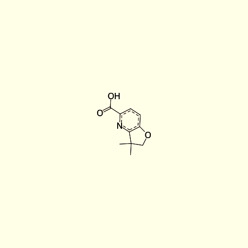 CC1(C)COc2ccc(C(=O)O)nc21